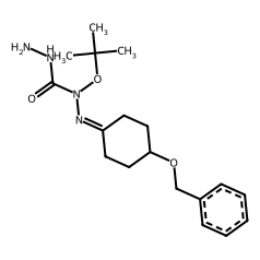 CC(C)(C)ON(N=C1CCC(OCc2ccccc2)CC1)C(=O)NN